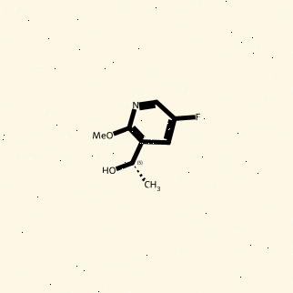 COc1ncc(F)cc1[C@H](C)O